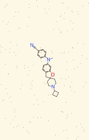 CN(c1ccc(C#N)cc1)c1ccc2c(c1)OC1(CCN(C3CCC3)CC1)C2